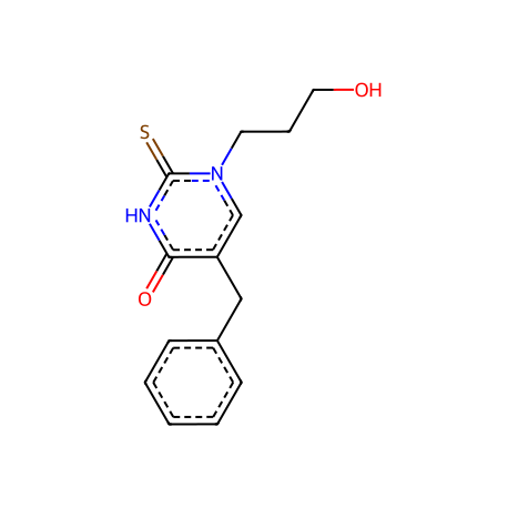 O=c1[nH]c(=S)n(CCCO)cc1Cc1ccccc1